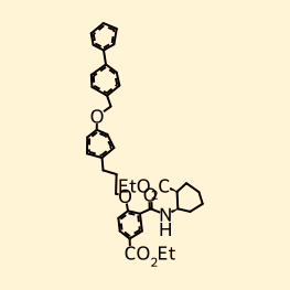 CCOC(=O)c1ccc(OCCCc2ccc(OCc3ccc(-c4ccccc4)cc3)cc2)c(C(=O)N[C@@H]2CCCC[C@@H]2C(=O)OCC)c1